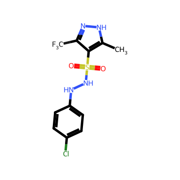 Cc1[nH]nc(C(F)(F)F)c1S(=O)(=O)NNc1ccc(Cl)cc1